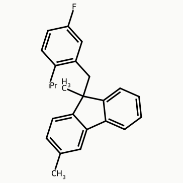 Cc1ccc2c(c1)-c1ccccc1C2(C)Cc1cc(F)ccc1C(C)C